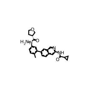 Cc1ccc(N(N)C(=O)[C@@H]2CCOC2)cc1-c1ccc2cc(NC(=O)C3CC3)ncc2c1